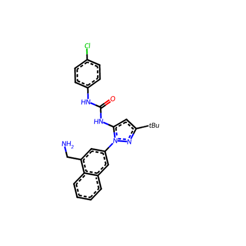 CC(C)(C)c1cc(NC(=O)Nc2ccc(Cl)cc2)n(-c2cc(CN)c3ccccc3c2)n1